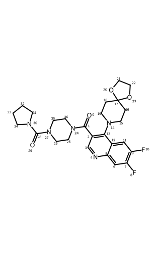 O=C(c1cnc2cc(F)c(F)cc2c1N1CCC2(CC1)OCCO2)N1CCN(C(=O)N2CCCC2)CC1